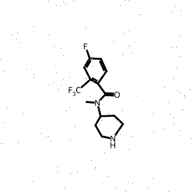 CN(C(=O)c1ccc(F)cc1C(F)(F)F)C1CCNCC1